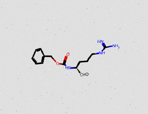 N=C(N)NCCC[C@@H]([C]=O)NC(=O)OCc1ccccc1